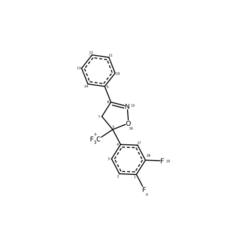 Fc1ccc(C2(C(F)(F)F)CC(c3cc[c]cc3)=NO2)cc1F